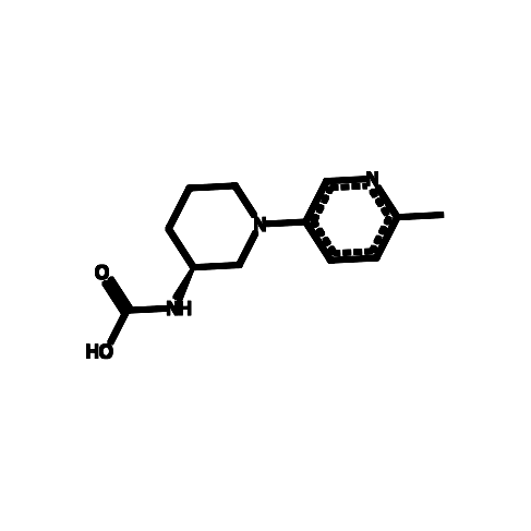 Cc1ccc(N2CCC[C@H](NC(=O)O)C2)cn1